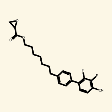 N#Cc1ccc(-c2ccc(CCCCCCCOC(=O)C3CO3)cc2)c(F)c1F